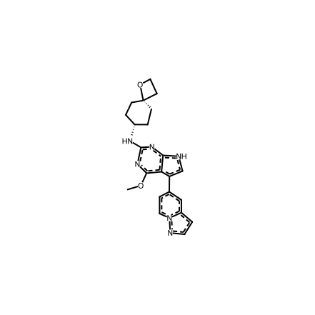 COc1nc(N[C@H]2CC[C@]3(CCO3)CC2)nc2[nH]cc(-c3ccn4nccc4c3)c12